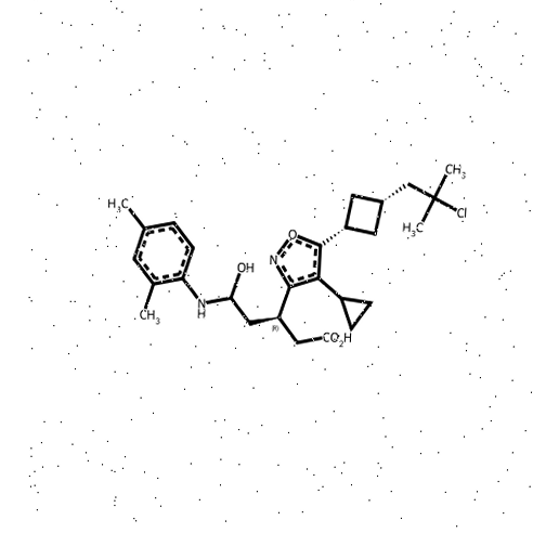 Cc1ccc(NC(O)C[C@H](CC(=O)O)c2noc([C@H]3C[C@@H](CC(C)(C)Cl)C3)c2C2CC2)c(C)c1